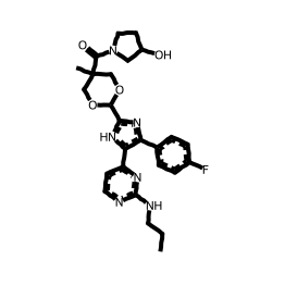 CCCNc1nccc(-c2[nH]c(C3OCC(C)(C(=O)N4CCC(O)C4)CO3)nc2-c2ccc(F)cc2)n1